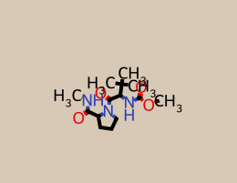 CNC(=O)C1CCCN1C(=O)C(NC(=O)OC)C(C)(C)C